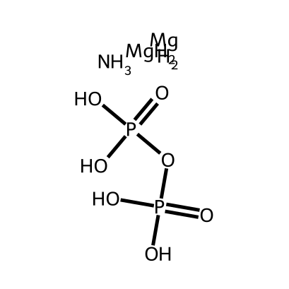 N.O=P(O)(O)OP(=O)(O)O.[MgH2].[MgH2]